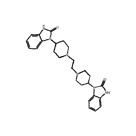 O=c1[nH]c2ccccc2n1C1CCN(CCN2CCC(n3c(=O)[nH]c4ccccc43)CC2)CC1